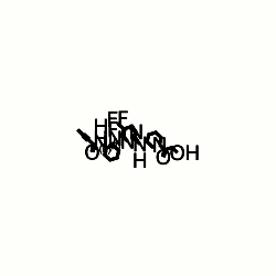 CC#CC(=O)N[C@@H]1CCCC[C@H]1Nc1nc(NC2CCCN(C(=O)CO)C2)ncc1C(F)(F)F